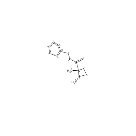 CN1CC[C@@]1(C)C(=O)OCc1ccccc1